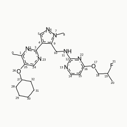 Cc1nc(-c2cnn(C)c2CNc2nccc(OCC(C)F)n2)ncc1OC1CCCCC1